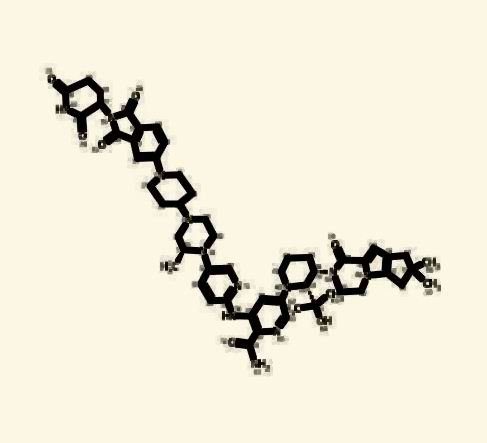 C[C@H]1CN(C2CCN(c3ccc4c(c3)C(=O)N(C3CCC(=O)NC3=O)C4=O)CC2)CCN1c1ccc(Nc2cc(N3CCC[C@H](N4CCn5c(cc6c5CC(C)(C)C6)C4=O)[C@@H]3C(C)(C)O)cnc2C(N)=O)nc1